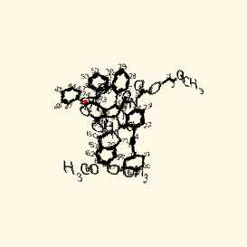 COCCOC(=O)N1C(=O)[C@@]2(c3cc(C#CC4=CCCCC4)ccc31)[C@H](c1ccccc1OCCO)C1[C@@H](C(=O)O[C@@H](c3ccccc3)[C@H]1c1ccccc1)[C@@H]2C(=O)N1CCc2cc(OC)c(OC)cc2C1